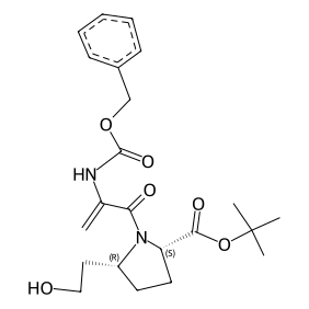 C=C(NC(=O)OCc1ccccc1)C(=O)N1[C@@H](CCO)CC[C@H]1C(=O)OC(C)(C)C